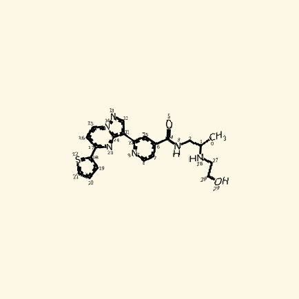 CC(CNC(=O)c1ccnc(-c2cnn3ccc(-c4cccs4)nc23)c1)NCCO